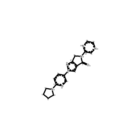 O=C1c2cn(-c3ccc(N4CCCC4)nc3)nc2CN1c1cnccn1